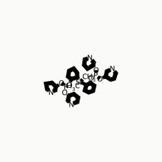 C[Si](C)(c1ccccc1OP(Oc1cccnc1)Oc1cccnc1)c1ccccc1OP(Oc1cccnc1)Oc1cccnc1